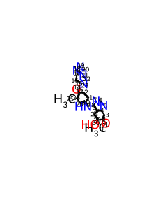 COc1cc2ncnc(Nc3ccc(Oc4cc5nncn5cn4)c(C)c3)c2cc1O